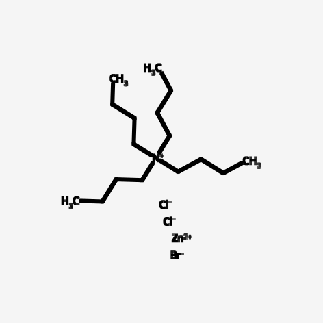 CCCC[N+](CCCC)(CCCC)CCCC.[Br-].[Cl-].[Cl-].[Zn+2]